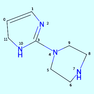 C1=CN=C(N2CCNCC2)NC1